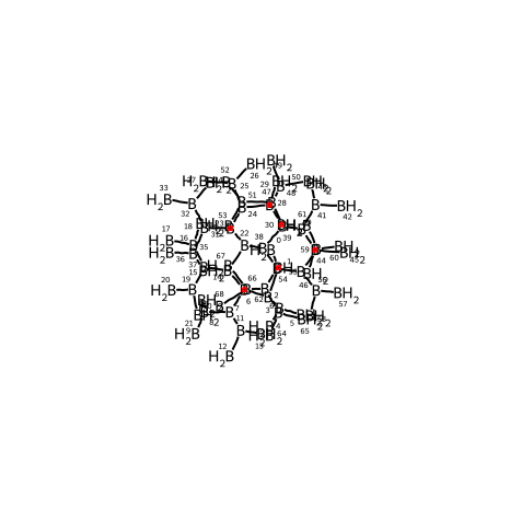 BBB(B(B)B)B(B(B(B)B)B(B)B)B(B(B(B)B)B(B)B)B(B(B(B(B)B)B(B)B)B(B(B)B)B(B)B)B(B(B(B(B)B)B(B)B)B(B(B)B)B(B)B)B(B(B(B)B)B(B)B)B(B(B)B)B(B)B